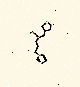 CCCC(CCCn1ccnc1)CC1CCCC1